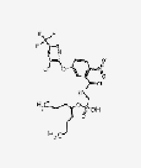 CCCCC(CCC)OP(=O)(O)CNC(=O)c1cc(Oc2ncc(C(F)(F)F)cc2Cl)ccc1[N+](=O)[O-]